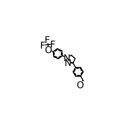 O=Cc1ccc(C2=NN(c3ccc(OC(F)(F)F)cc3)CC2)cc1